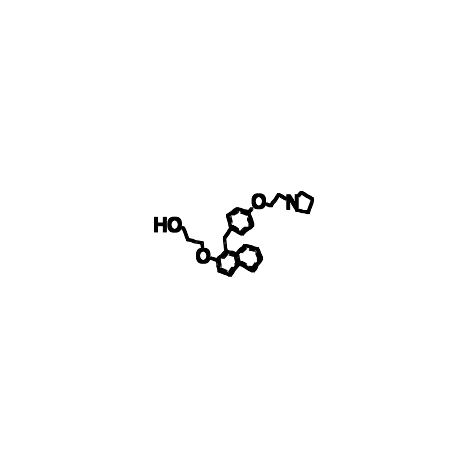 OCCCOc1ccc2ccccc2c1Cc1ccc(OCCN2CCCC2)cc1